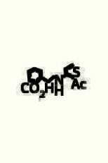 CC(=O)c1sccc1NCC(C(=O)O)c1ccccc1